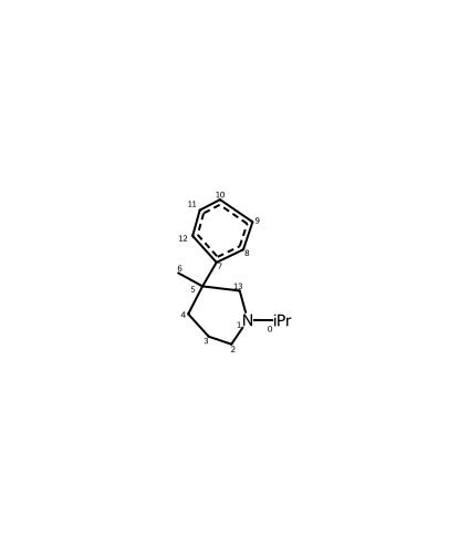 CC(C)N1CCCC(C)(c2ccccc2)C1